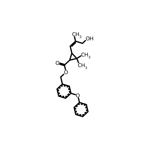 CC(=CC1C(C(=O)OCc2cccc(Oc3ccccc3)c2)C1(C)C)CO